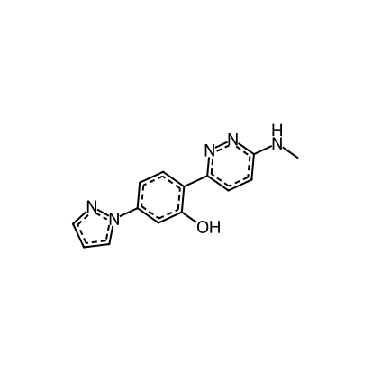 CNc1ccc(-c2ccc(-n3cccn3)cc2O)nn1